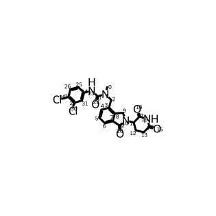 CN(Cc1cccc2c1CN(C1CCC(=O)NC1=O)C2=O)C(=O)Nc1ccc(Cl)c(Cl)c1